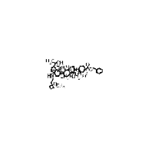 C=C(C)[C@@H]1CC[C@]2(NCCC3(OC)CCC3)CC[C@]3(C)[C@H](CC[C@@H]4[C@@]5(C)CC=C(C6=CC[C@](CF)(C(=O)OCc7ccccc7)CC6)C(C)(C)[C@@H]5CC[C@]43C)[C@@H]12